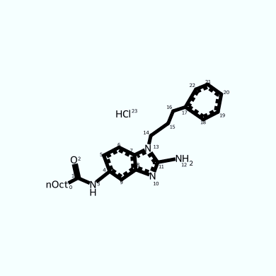 CCCCCCCCC(=O)Nc1ccc2c(c1)nc(N)n2CCCc1ccccc1.Cl